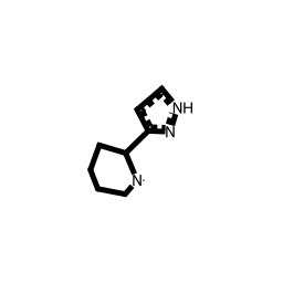 c1cc(C2CCCC[N]2)n[nH]1